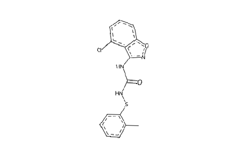 Cc1ccccc1SNC(=O)Nc1noc2cccc(Cl)c12